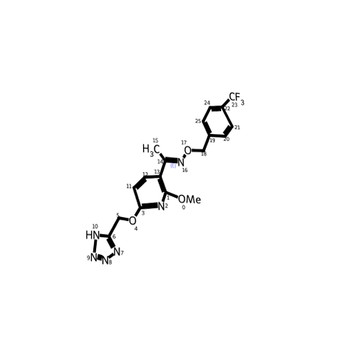 COc1nc(OCc2nnn[nH]2)ccc1/C(C)=N/OCc1ccc(C(F)(F)F)cc1